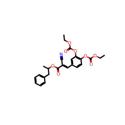 CCOC(=O)Oc1ccc(/C=C(\C#N)C(=O)OC(C)Cc2ccccc2)cc1OC(=O)OCC